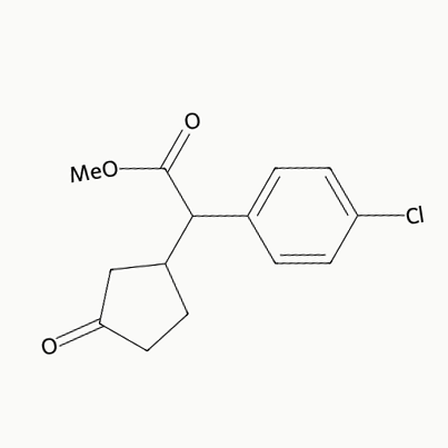 COC(=O)C(c1ccc(Cl)cc1)C1CCC(=O)C1